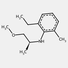 CCc1cccc(C)c1N[C@@H](C)COC